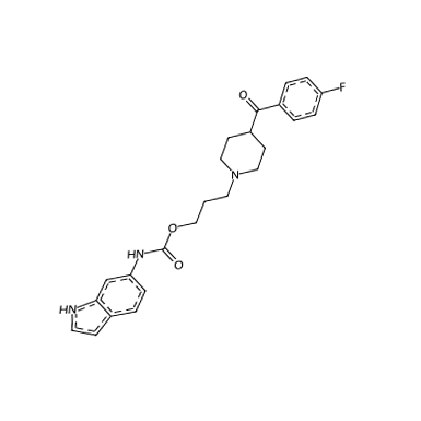 O=C(Nc1ccc2cc[nH]c2c1)OCCCN1CCC(C(=O)c2ccc(F)cc2)CC1